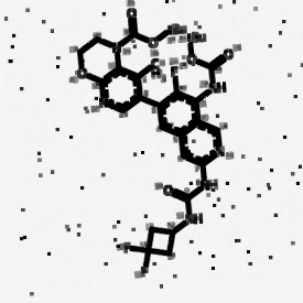 Cc1c(-c2cc3cc(NC(=O)NC4CC(F)(F)C4)ncc3c(NC(=O)OC(C)(C)C)c2F)cnc2c1N(C(=O)OC(C)(C)C)CCO2